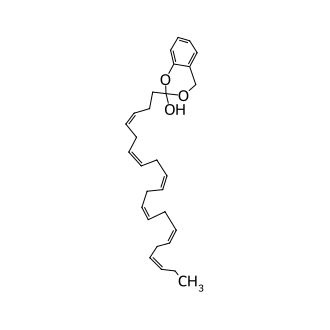 CC/C=C\C/C=C\C/C=C\C/C=C\C/C=C\C/C=C\CCC1(O)OCc2ccccc2O1